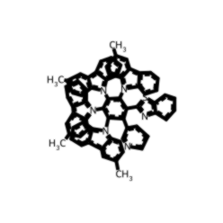 Cc1ccc2c(c1)c1ccccc1n2-c1c(-c2cccnc2)c(-c2nc3ccccc3s2)c(-n2c3ccccc3c3cc(C)ccc32)c(-n2c3ccccc3c3cc(C)ccc32)c1-n1c2ccccc2c2cc(C)ccc21